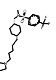 CN(C[C@H]1CC[C@H](CCCCCN2CCCC2)CC1)S(=O)(=O)c1ccc(C(F)(F)F)cc1